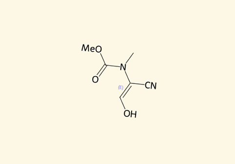 COC(=O)N(C)/C(C#N)=C/O